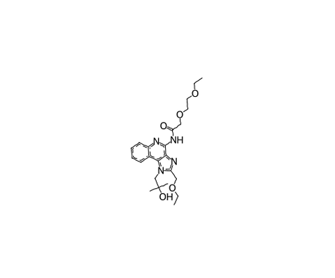 CCOCCOCC(=O)Nc1nc2ccccc2c2c1nc(COCC)n2CC(C)(C)O